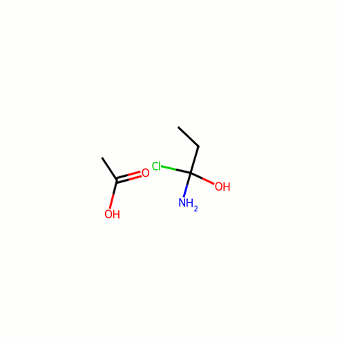 CC(=O)O.CCC(N)(O)Cl